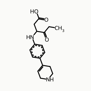 CCC(=O)C(CC(=O)O)Nc1ccc(C2=CCNCC2)cc1